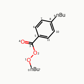 [CH2]CC[CH]OOC(=O)c1ccc(CCCC)cc1